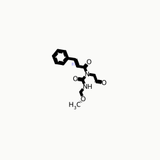 COCNC(=O)N(C[C]=O)C(=O)/C=C/c1ccccc1